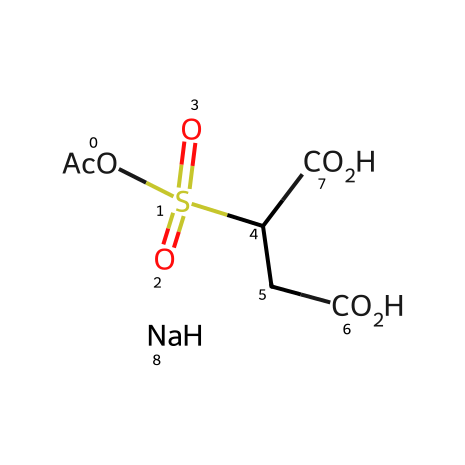 CC(=O)OS(=O)(=O)C(CC(=O)O)C(=O)O.[NaH]